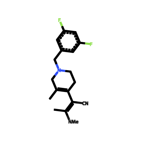 CN/C(C)=C(\C#N)C1=C(C)CN(Cc2cc(F)cc(F)c2)CC1